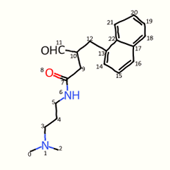 CN(C)CCCNC(=O)CC(C=O)Cc1cccc2ccccc12